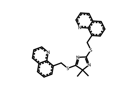 CC1(C)N=C(SCc2cccc3cccnc23)N=C1SCc1cccc2cccnc12